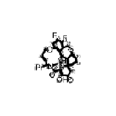 CC(C)C1/C=C/COc2cc(F)c(F)c3c2[C@H](c2ccccc2SC3)N2CN1C(=O)c1c(O)c(=O)ccn12